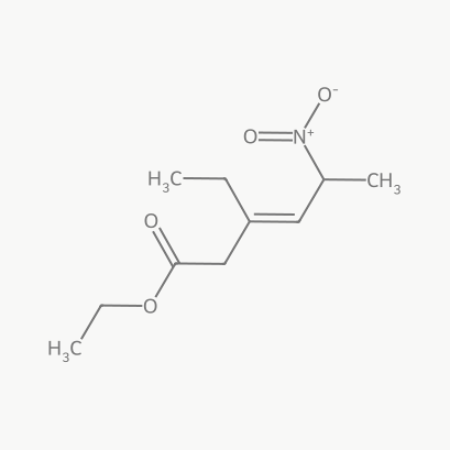 CCOC(=O)C/C(=C/C(C)[N+](=O)[O-])CC